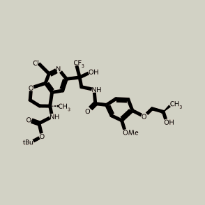 COc1cc(C(=O)NCC(O)(c2cc3c(c(Cl)n2)OCC[C@]3(C)NC(=O)OC(C)(C)C)C(F)(F)F)ccc1OC[C@@H](C)O